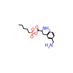 CCCCCS(=O)(=O)OC(=O)[C@@H](N)Cc1cccc(CN)c1